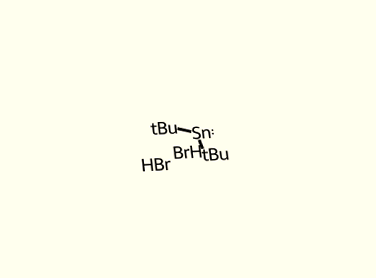 Br.Br.C[C](C)(C)[Sn][C](C)(C)C